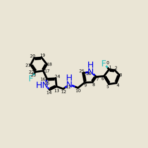 Fc1ccccc1-c1cc(CNCc2c[nH]c(-c3ccccc3F)c2)c[nH]1